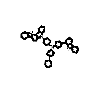 c1ccc(-c2ccc(N(c3ccc(-c4cccc5c4sc4ccccc45)cc3)c3ccc(-n4c5ccccc5c5c6oc7ccccc7c6ccc54)cc3)cc2)cc1